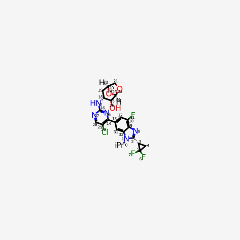 CC(C)n1c([C@@H]2CC2(F)F)nc2c(F)cc(-c3nc(N[C@@H]4C[C@H]5CO[C@H](O5)[C@H]4O)ncc3Cl)cc21